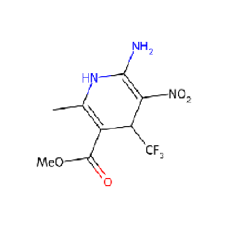 COC(=O)C1=C(C)NC(N)=C([N+](=O)[O-])C1C(F)(F)F